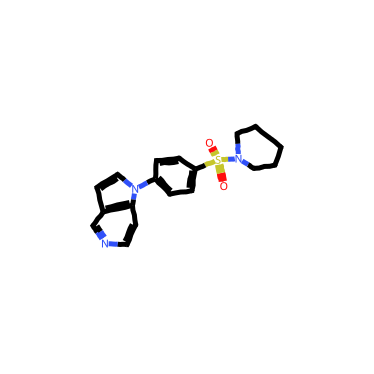 O=S(=O)(c1ccc(-n2ccc3cnccc32)cc1)N1CCCCC1